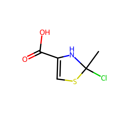 CC1(Cl)NC(C(=O)O)=CS1